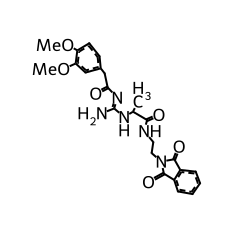 COc1ccc(CC(=O)N=C(N)NC(C)C(=O)NCCN2C(=O)c3ccccc3C2=O)cc1OC